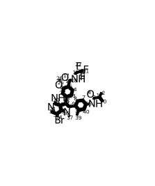 C=C(C)C(=O)Nc1ccc(-c2c(-c3ccc(C(=O)NCC(F)(F)F)c(OC)c3)c3c(N)ncc(Br)c3n2C)c(C)c1